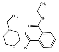 CCN1CCOCC1.CCNC(=O)c1ccccc1C(=S)S